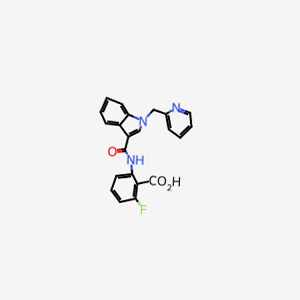 O=C(O)c1c(F)cccc1NC(=O)c1cn(Cc2ccccn2)c2ccccc12